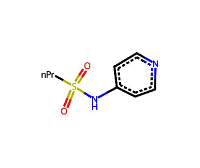 CCCS(=O)(=O)Nc1ccncc1